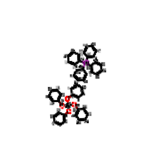 c1ccc([O][Al-]([O]c2ccccc2)([O]c2ccccc2)[O]c2ccccc2)cc1.c1ccc([P+](c2ccccc2)(c2ccccc2)c2ccccc2)cc1